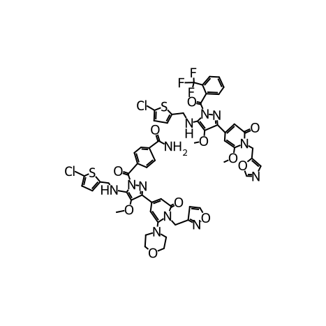 COc1c(-c2cc(N3CCOCC3)n(Cc3ccon3)c(=O)c2)nn(C(=O)c2ccc(C(N)=O)cc2)c1NCc1ccc(Cl)s1.COc1c(-c2cc(OC)n(Cc3cnco3)c(=O)c2)nn(C(=O)c2ccccc2C(F)(F)F)c1NCc1ccc(Cl)s1